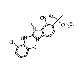 CCOC(=O)C(C)(C(C)=O)c1ccc2nc(Nc3c(Cl)cccc3Cl)n(C)c2c1C#N